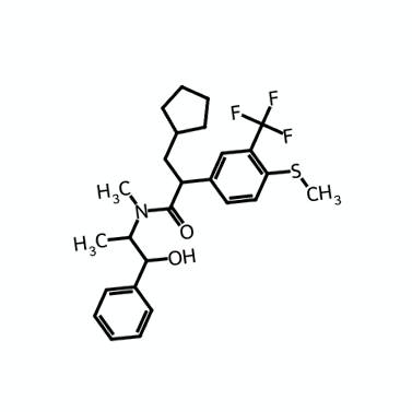 CSc1ccc(C(CC2CCCC2)C(=O)N(C)C(C)C(O)c2ccccc2)cc1C(F)(F)F